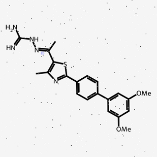 COc1cc(OC)cc(-c2ccc(-c3nc(C)c(/C(C)=N/NC(=N)N)s3)cc2)c1